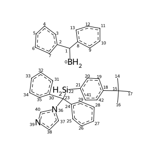 BC(c1ccccc1)c1ccccc1.CC(C)(C)c1ccc([SiH2]C(c2ccccc2)(c2ccccc2)n2ccnc2)cc1